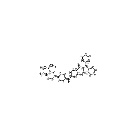 CC(C)[C@H]1CN(c2ccc(Nc3ncc4c(=O)n5c(nc4n3)c3ccccc3n5-c3ncccn3)cc2)CCN1C